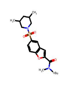 CCCCN(C)C(=O)c1cc2cc(S(=O)(=O)N3CC(C)CC(C)C3)ccc2o1